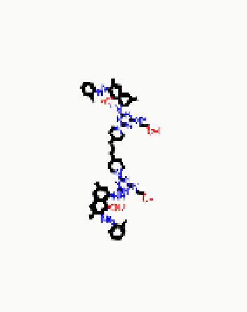 Cc1cc(Nc2nc(NCCO)nc(N3CCC(CCCC4CCN(c5nc(NCCO)nc(Nc6cc(C)cc7cc(C)c(N=Nc8ccccc8C)c(O)c67)n5)CC4)CC3)n2)c2c(O)c(N=Nc3ccccc3C)c(C)cc2c1